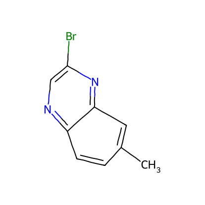 Cc1ccc2ncc(Br)nc2c1